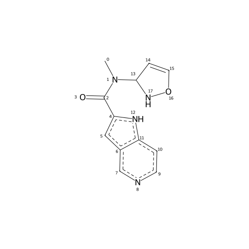 CN(C(=O)c1cc2cnccc2[nH]1)C1C=CON1